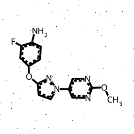 COc1ncc(-n2ccc(Oc3ccc(N)c(F)c3)n2)cn1